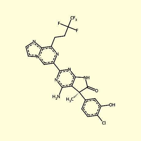 C[C@@]1(c2ccc(Cl)c(O)c2)C(=O)Nc2nc(-c3cn4ccnc4c(CCC(F)(F)C(F)(F)F)n3)nc(N)c21